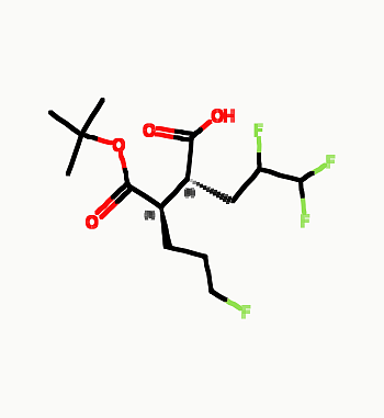 CC(C)(C)OC(=O)[C@H](CCCF)[C@@H](CC(F)C(F)F)C(=O)O